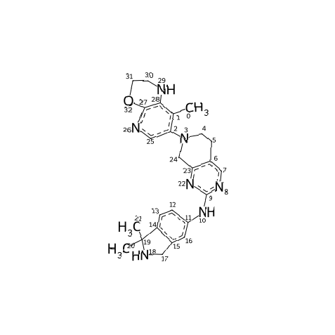 Cc1c(N2CCc3cnc(Nc4ccc5c(c4)CNC5(C)C)nc3C2)cnc2c1NCCO2